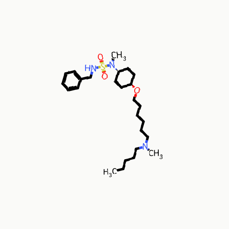 CCCCCN(C)CCCCCCO[C@H]1CC[C@H](N(C)S(=O)(=O)NCc2ccccc2)CC1